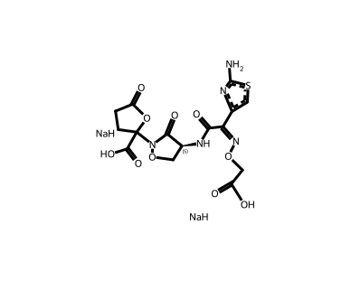 Nc1nc(C(=NOCC(=O)O)C(=O)N[C@H]2CON(C3(C(=O)O)CCC(=O)O3)C2=O)cs1.[NaH].[NaH]